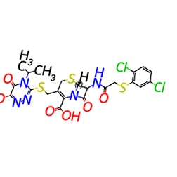 CC(C)n1c(SCC2=C(C(=O)O)N3C(=O)C(NC(=O)CSc4cc(Cl)ccc4Cl)[C@H]3SC2)nnc(O)c1=O